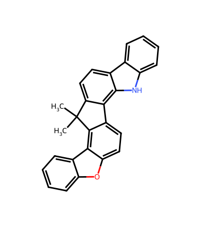 CC1(C)c2ccc3c([nH]c4ccccc43)c2-c2ccc3oc4ccccc4c3c21